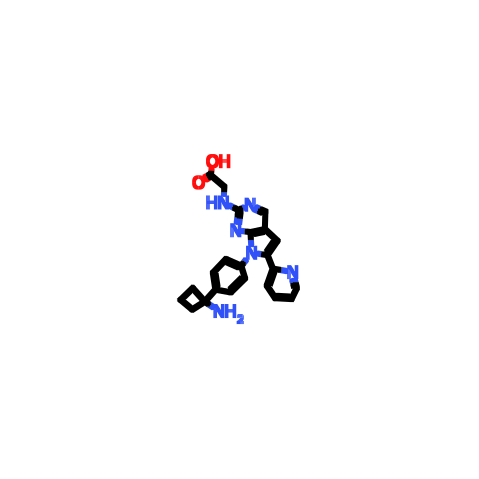 NC1(c2ccc(-n3c(-c4ccccn4)cc4cnc(NCC(=O)O)nc43)cc2)CCC1